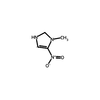 CN1CN[C]=C1[N+](=O)[O-]